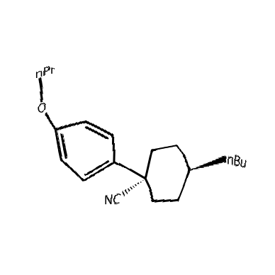 CCCC[C@H]1CC[C@@](C#N)(c2ccc(OCCC)cc2)CC1